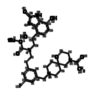 CC(C)(C)OC(=O)N(CCc1cc(F)cc(CN2CCC3(CC2)CN(C(=O)C(F)(F)F)CCO3)c1)C[C@H](O)c1ccc(O)c2[nH]c(=O)sc12